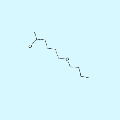 CCCCOCCCCC(C)[O]